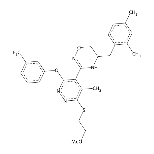 COCCSc1nnc(Oc2cccc(C(F)(F)F)c2)c(C2=NOCC(Cc3ccc(C)cc3C)N2)c1C